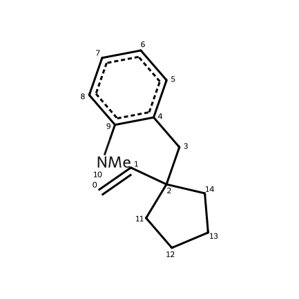 C=CC1(Cc2ccccc2NC)CCCC1